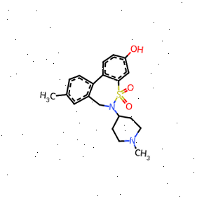 Cc1ccc2c(c1)CN(C1CCN(C)CC1)S(=O)(=O)c1cc(O)ccc1-2